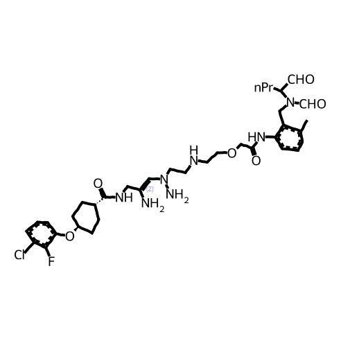 CCCC(C=O)N(C=O)Cc1c(C)cccc1NC(=O)COCCNCCN(N)/C=C(\N)CNC(=O)[C@H]1CC[C@H](Oc2cccc(Cl)c2F)CC1